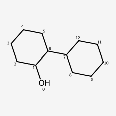 OC1CCCC[C]1C1CCCCC1